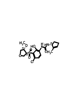 CO[C@H]1COC[C@@H]1S(=O)(=O)c1c(Cl)ccc(NC(=O)N[C@@H]2CCC=C2C)c1O